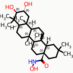 CC1(C)CC[C@]2(C(=O)NO)CC[C@]3(C)C(=CC[C@@H]4[C@@]5(C)C[C@@H](O)[C@H](O)C(C)(C)[C@@H]5CC[C@]43C)[C@@H]2C1